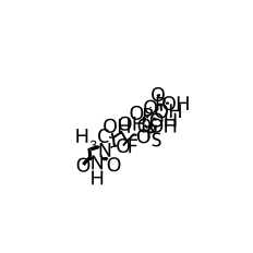 C[C@]1(O)[C@H](n2ccc(=O)[nH]c2=O)O[C@](F)(CO[P@@](O)(=S)OP(=O)(O)OP(=O)(O)O)[C@H]1O